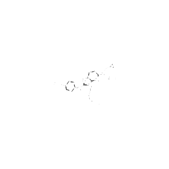 CCCCN(CC1CC1)c1ccc2nc(Nc3ccc(C(C)=O)cc3)n(CCN)c2n1